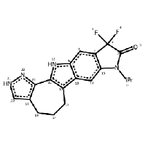 CC(C)N1C(=O)C(F)(F)c2cc3[nH]c4c(c3cc21)CCCc1c[nH]nc1-4